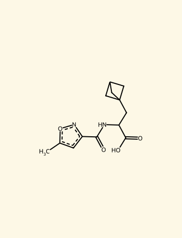 Cc1cc(C(=O)NC(CC23CC(C2)C3)C(=O)O)no1